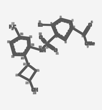 CCc1ccc(C(=O)OC)cc1S(=O)(=O)Nc1cc(C(F)(F)F)ccc1N1CC(O)C1